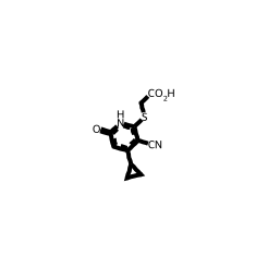 N#Cc1c(C2CC2)cc(=O)[nH]c1SCC(=O)O